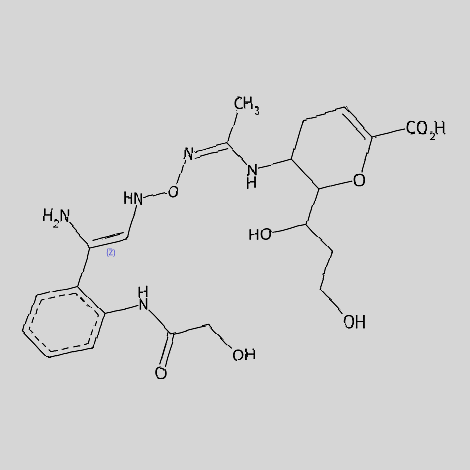 CC(=NON/C=C(\N)c1ccccc1NC(=O)CO)NC1CC=C(C(=O)O)OC1C(O)CCO